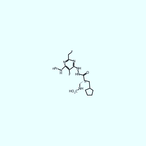 CCCNc1nc(CF)nc(NNC(=O)[C@@H](CNC(=O)O)CC2CCCC2)c1F